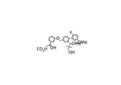 COc1ccc(F)c(-c2ccc(COc3cccc([C@H](O)CC(=O)O)c3)cc2C(OC)C(C)(C)CO)c1